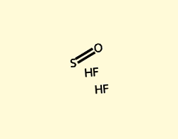 F.F.O=S